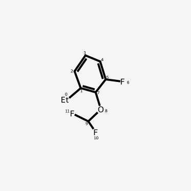 [CH2]Cc1cccc(F)c1OC(F)F